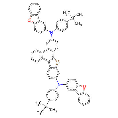 C[Si](C)(C)c1ccc(N(c2ccc3c(c2)sc2c4ccc(N(c5ccc([Si](C)(C)C)cc5)c5ccc6oc7ccccc7c6c5)cc4c4ccccc4c32)c2ccc3oc4ccccc4c3c2)cc1